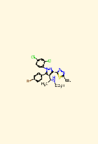 CC(NC(=O)O)c1c(-c2nnc(C(C)(C)C)s2)nn(-c2ccc(Cl)cc2Cl)c1-c1ccc(Br)cc1